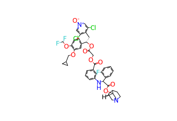 O=C(COC(=O)c1cccc(NC(C(=O)O[C@H]2CN3CCC2CC3)c2ccccc2F)c1)O[C@@H](Cc1c(Cl)c[n+]([O-])cc1Cl)c1ccc(OC(F)F)c(OCC2CC2)c1